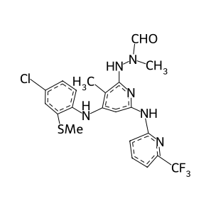 CSc1cc(Cl)ccc1Nc1cc(Nc2cccc(C(F)(F)F)n2)nc(NN(C)C=O)c1C